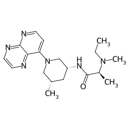 CCN(C)[C@@H](C)C(=O)N[C@@H]1C[C@H](C)CN(c2ccnc3nccnc23)C1